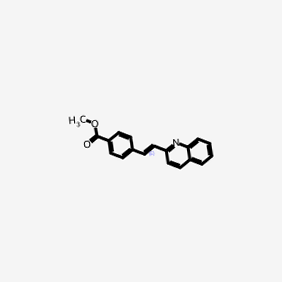 COC(=O)c1ccc(/C=C/c2ccc3ccccc3n2)cc1